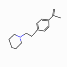 C=C(C)c1ccc(CCN2CCCCC2)cc1